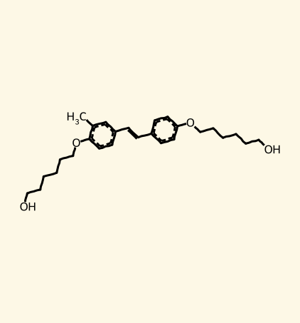 Cc1cc(C=Cc2ccc(OCCCCCCO)cc2)ccc1OCCCCCCO